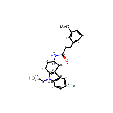 COc1cccc(CCC(=O)N[C@H]2CCc3c(c4cc(F)ccc4n3CC(=O)O)C2)c1